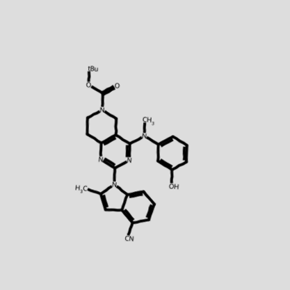 Cc1cc2c(C#N)cccc2n1-c1nc2c(c(N(C)c3cccc(O)c3)n1)CN(C(=O)OC(C)(C)C)CC2